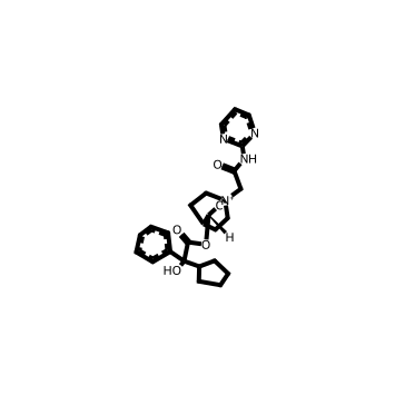 O=C(C[N+]12CCC(CC1)[C@@H](OC(=O)C(O)(c1ccccc1)C1CCCC1)C2)Nc1ncccn1